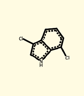 Clc1c[nH]c2c(Cl)cccc12